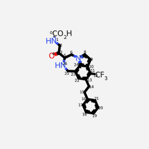 O=C(O)NCC(=O)C1Cn2ccc3c(C(F)(F)F)c(CCc4ccccc4)cc(c32)CN1